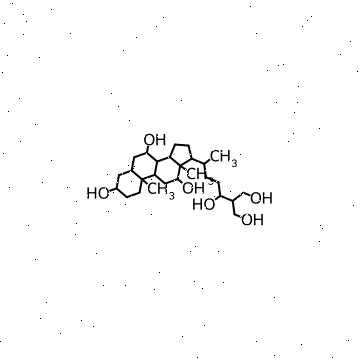 CC(CCC(O)C(CO)CO)C1CCC2C3C(O)CC4CC(O)CCC4(C)C3CC(O)C12C